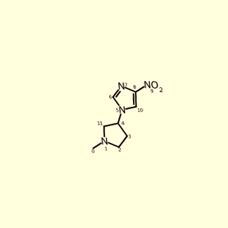 CN1CCC(n2cnc([N+](=O)[O-])c2)C1